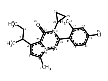 CCC(C)c1cc(C)n2nc(-c3ccc(Cl)cc3C)n(C3CC3)c(=O)c12